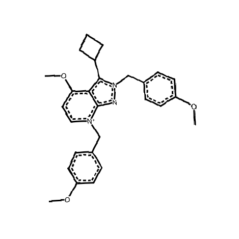 COc1ccc(Cn2nc3c(c(OC)cc[n+]3Cc3ccc(OC)cc3)c2C2CCC2)cc1